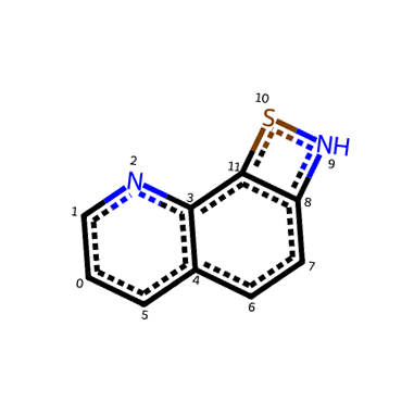 c1cnc2c(c1)ccc1[nH]sc12